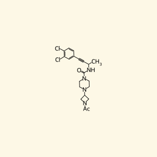 CC(=O)N1CC(N2CCN(C(=O)NC(C)C#Cc3ccc(Cl)c(Cl)c3)CC2)C1